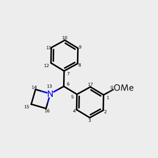 COc1cccc(C(c2ccccc2)N2CCC2)c1